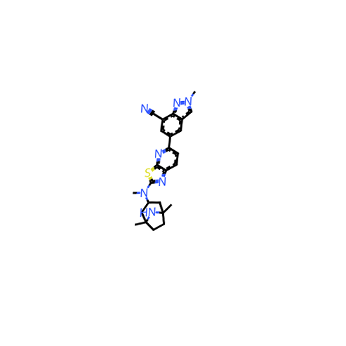 CN(c1nc2ccc(-c3cc(C#N)c4nn(C)cc4c3)nc2s1)C1CC2(C)CCC(C)(C1)N2